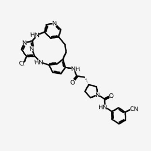 N#Cc1cccc(NC(=O)N2CC[C@H](CC(=O)Nc3ccc4cc3CCc3cncc(c3)Nc3ncc(Cl)c(n3)N4)C2)c1